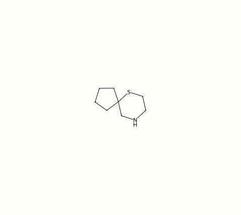 C1CCC2(C1)CNCCS2